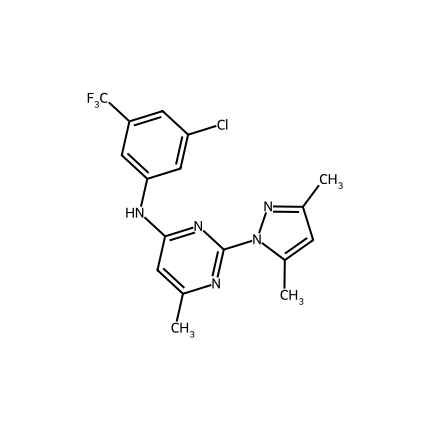 Cc1cc(Nc2cc(Cl)cc(C(F)(F)F)c2)nc(-n2nc(C)cc2C)n1